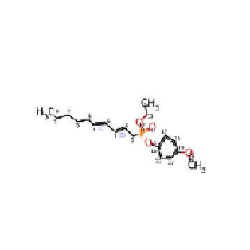 CCCCC/C=C/C=C/CP(=O)(OCC)Oc1ccc(OC)cc1